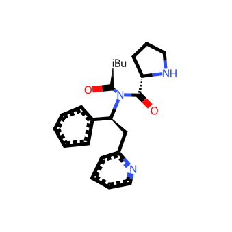 CC[C@H](C)C(=O)N(C(=O)[C@@H]1CCCN1)[C@@H](Cc1ccccn1)c1ccccc1